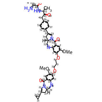 COc1cc2c(cc1OCCCOc1cc3c(cc1OC)C(=O)N1C=C(C4CC4)C[C@H]1C=N3)N=C[C@@H]1CC(c3ccc(CC(=O)[C@H](C)NC(=O)[C@@H](N)C(C)C)cc3)=CN1C2=O